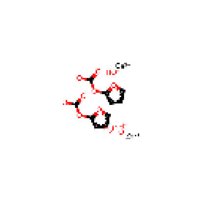 O.O=C([O-])Oc1ccco1.O=C([O-])Oc1ccco1.[Ca+2].[OH-].[OH-].[Zn+2]